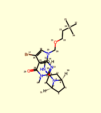 Cn1c(N2[C@@H]3CC[C@H]2C[C@@H](NC(=O)O)C3)nc2c(c(Br)cn2COCC[Si](C)(C)C)c1=O